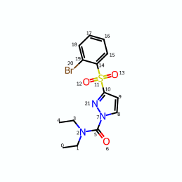 CCN(CC)C(=O)n1ccc(S(=O)(=O)c2ccccc2Br)n1